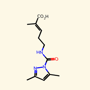 CC(=CCCNC(=O)n1nc(C)cc1C)C(=O)O